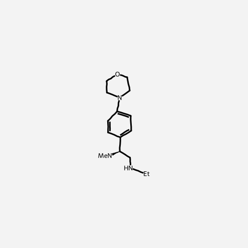 CCNC[C@@H](NC)c1ccc(N2CCOCC2)cc1